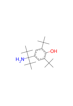 CC(C)(C)c1cc(C(N)(C(C)(C)C)C(C)(C)C)cc(C(C)(C)C)c1O